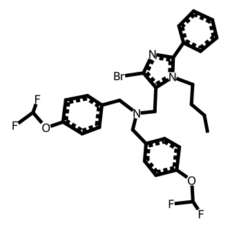 CCCCn1c(-c2ccccc2)nc(Br)c1CN(Cc1ccc(OC(F)F)cc1)Cc1ccc(OC(F)F)cc1